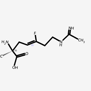 CC(=N)NCC/C(F)=C/C[C@](C)(N)C(=O)O